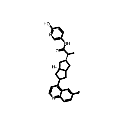 CC(C(=O)Nc1ccc(O)nc1)[C@H]1CC2CC(c3ccnc4ccc(F)cc34)C[C@H]2C1